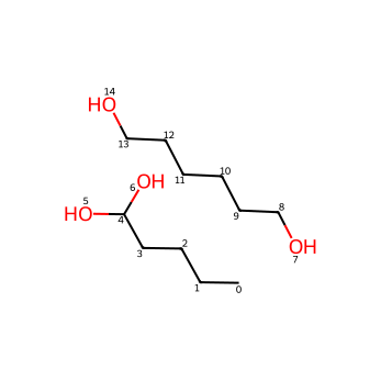 CCCCC(O)O.OCCCCCCO